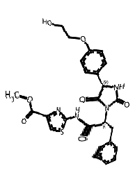 COC(=O)c1csc(NC(=O)[C@H](Cc2ccccc2)N2C(=O)N[C@H](c3ccc(OCCO)cc3)C2=O)n1